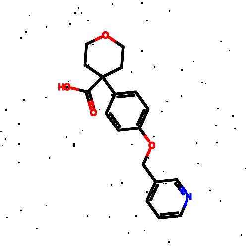 O=C(O)C1(c2ccc(OCc3cccnc3)cc2)CCOCC1